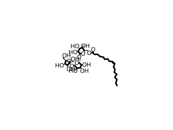 CCCCCCCC/C=C\CCCCCCCC(=O)OC[C@H]1OC(OC[C@H]2OC(O[C@]3(CO)O[C@H](CO)[C@@H](O)[C@@H]3O)[C@H](O)[C@@H](O)[C@@H]2O)[C@H](O)[C@@H](O)[C@H]1O